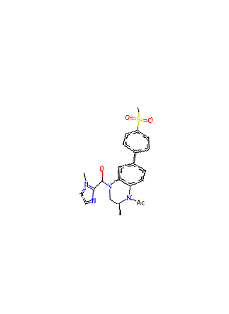 CC(=O)N1c2ccc(-c3ccc(S(C)(=O)=O)cc3)cc2N(C(=O)c2nccn2C)C[C@@H]1C